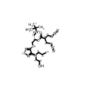 CC(C)(C)NC[C@@H](COc1nsnc1N(CCO)CCI)OC(=O)C(CN=[N+]=[N-])CN=[N+]=[N-]